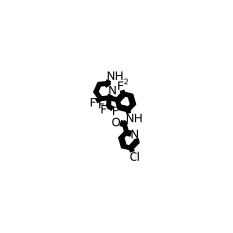 NC1=NC(c2cc(NC(=O)c3ccc(Cl)cn3)ccc2F)(C(F)F)C(F)(F)CC1